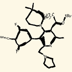 COc1c(F)cc(-c2c(CN3CCCC3)nc(C)c([C@H](OC(C)(C)C)C(=O)O)c2N2CCC(C)(C)CC2)cc1F